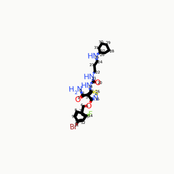 NC(=O)c1c(OCc2ccc(Br)cc2F)nsc1NC(=O)NCCCNC1CCCCC1